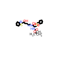 CC(C)(C)OC(=O)NC(CS(=O)(=O)Cc1ccccc1)C(=O)NCCCC[C@@H](O)c1nc2ccccc2s1